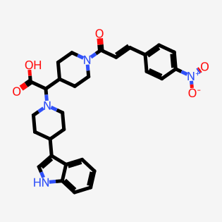 O=C(O)C(C1CCN(C(=O)/C=C/c2ccc([N+](=O)[O-])cc2)CC1)N1CCC(c2c[nH]c3ccccc23)CC1